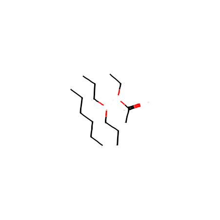 CCCCCC.CCCOCCC.CCOC(C)=O